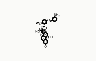 CCOc1ccc(OCc2cccc(N)c2)cc1[C@@H]1O[C@@H]2C[C@H]3[C@@H]4CCC5=CC(=O)C=C[C@]5(C)[C@H]4[C@@H](O)C[C@]3(C)[C@]2(C(=O)CO)O1